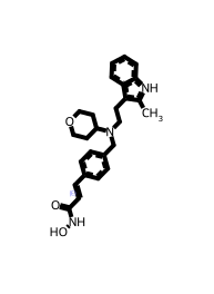 Cc1[nH]c2ccccc2c1CCN(Cc1ccc(/C=C/C(=O)NO)cc1)C1CCOCC1